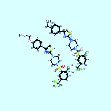 CCOc1ccc(-c2csc(N3CCN(S(=O)(=O)c4cc(C(F)(F)F)ccc4Cl)CC3)n2)cc1.CCc1ccc(-c2csc(N3CCN(S(=O)(=O)c4cc(C(F)(F)F)ccc4Cl)CC3)n2)cc1